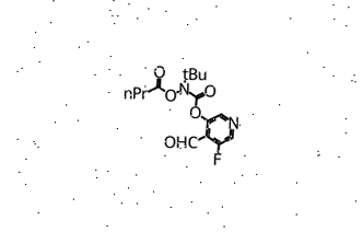 CCCC(=O)ON(C(=O)Oc1cncc(F)c1C=O)C(C)(C)C